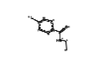 CCNC(=O)c1ccc(I)cc1